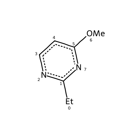 CCc1nccc(OC)n1